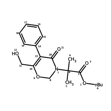 CCCCOC(=O)C(C)(C)N1COC(CO)=C(c2ccccc2)C1=O